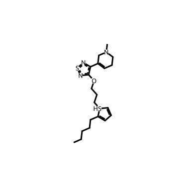 CCCCCC1=CC=C[SH]1CCCOc1nsnc1C1=CCCN(C)C1